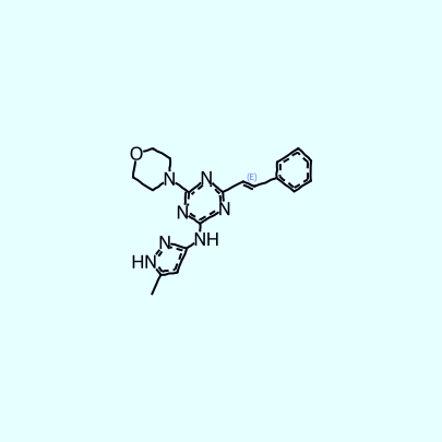 Cc1cc(Nc2nc(/C=C/c3ccccc3)nc(N3CCOCC3)n2)n[nH]1